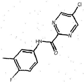 Cc1cc(NC(=O)c2ncc(Cl)cn2)ccc1F